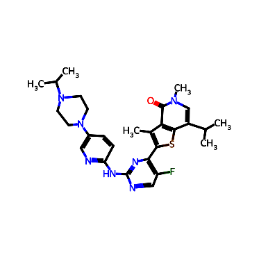 Cc1c(-c2nc(Nc3ccc(N4CCN(C(C)C)CC4)cn3)ncc2F)sc2c(C(C)C)cn(C)c(=O)c12